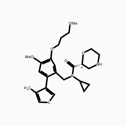 COCCCOc1cc(CN(C(=O)[C@H]2CNCCO2)C2CC2)c(-c2cscc2C)cc1OC